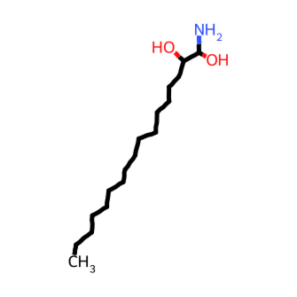 CCCCCCCCCCCCCCCC(O)C(N)O